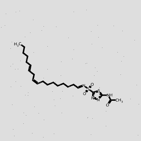 CCCCC/C=C/C/C=C\CCCCCCC/C=N/S(=O)(=O)c1nnc(NC(C)=O)s1